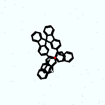 c1ccc(N(c2ccccc2)c2ccc3c(c2)C2(c4ccccc4-3)c3ccccc3-c3ccc(N(c4ccccc4)c4ccc5c(c4)oc4ccccc45)cc32)cc1